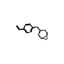 C=Cc1ccc(CC2CCOCC2)cc1